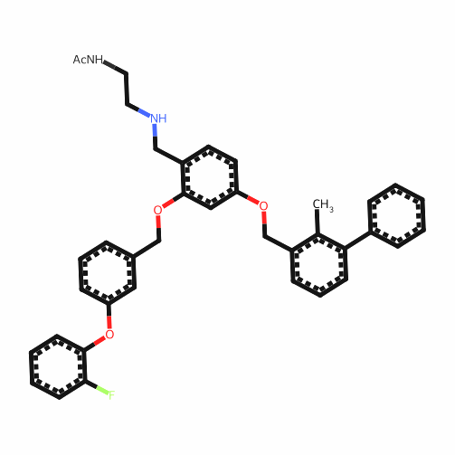 CC(=O)NCCNCc1ccc(OCc2cccc(-c3ccccc3)c2C)cc1OCc1cccc(Oc2ccccc2F)c1